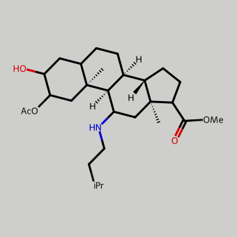 COC(=O)C1CC[C@H]2[C@@H]3CCC4CC(O)C(OC(C)=O)C[C@]4(C)[C@@H]3C(NCCC(C)C)C[C@]12C